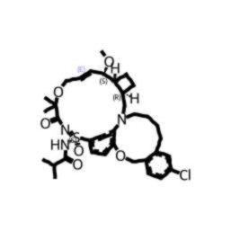 CO[C@@H]1/C=C/COC(C)(C)C(=O)N=[S@@](=O)(NC(=O)C(C)C)c2ccc3c(c2)N(CCCCc2cc(Cl)ccc2CO3)C[C@@H]2CC[C@H]21